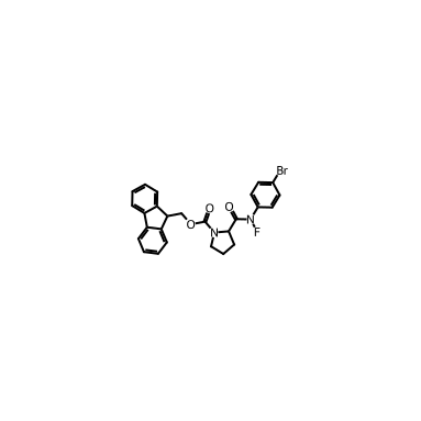 O=C(C1CCCN1C(=O)OCC1c2ccccc2-c2ccccc21)N(F)c1ccc(Br)cc1